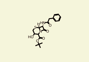 CC(C)(C)OC(=O)C1C(O)CS[C@@H]2[C@H](NC(=O)Cc3ccccc3)C(=O)N12